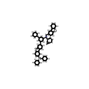 C1=CC2CC2C(/C(=C\c2ccc3oc4ccccc4c3c2)c2cc(-c3ccccc3)cc(-c3ccc4c(c3)sc3ccc(N(c5ccccc5)c5ccccc5)cc34)c2)=C1